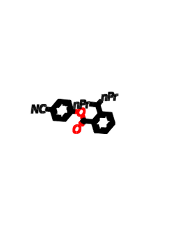 CCCC(CCC)c1ccccc1C(=O)Oc1ccc(C#N)cc1